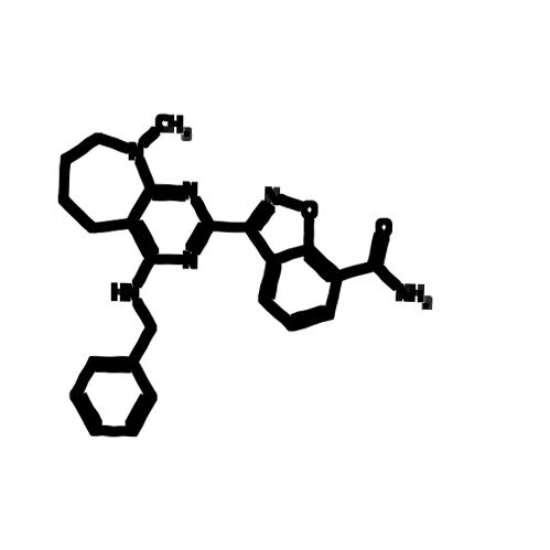 CN1CCCCc2c(NCc3ccccc3)nc(-c3noc4c(C(N)=O)cccc34)nc21